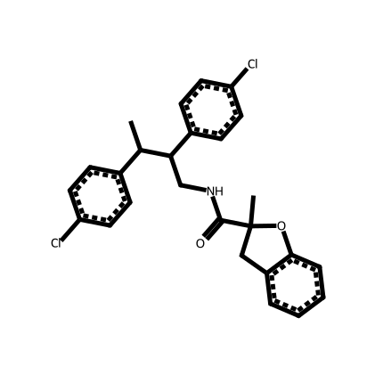 CC(c1ccc(Cl)cc1)C(CNC(=O)C1(C)Cc2ccccc2O1)c1ccc(Cl)cc1